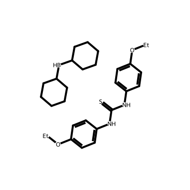 B(C1CCCCC1)C1CCCCC1.CCOc1ccc(NC(=S)Nc2ccc(OCC)cc2)cc1